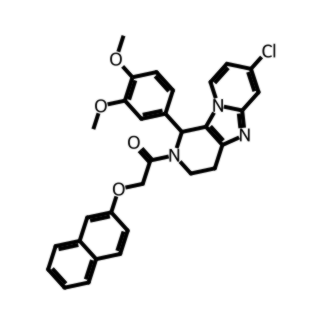 COc1ccc(C2c3c(nc4cc(Cl)ccn34)CCN2C(=O)COc2ccc3ccccc3c2)cc1OC